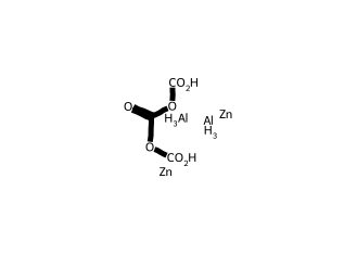 O=C(O)OC(=O)OC(=O)O.[AlH3].[AlH3].[Zn].[Zn]